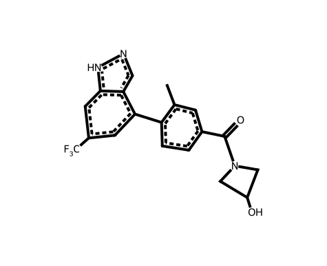 Cc1cc(C(=O)N2CC(O)C2)ccc1-c1cc(C(F)(F)F)cc2[nH]ncc12